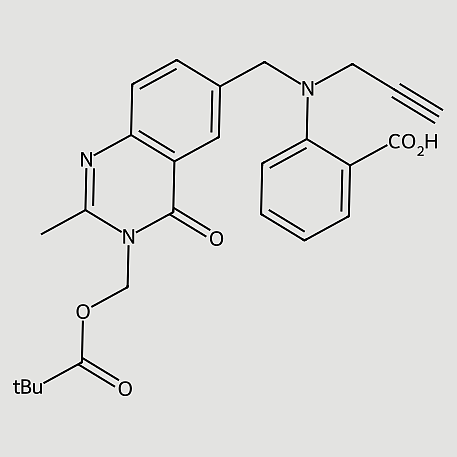 C#CCN(Cc1ccc2nc(C)n(COC(=O)C(C)(C)C)c(=O)c2c1)c1ccccc1C(=O)O